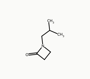 CC(C)CN1CCC1=O